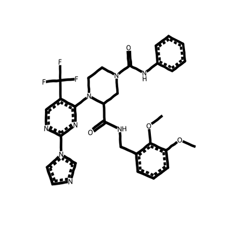 COc1cccc(CNC(=O)C2CN(C(=O)Nc3ccccc3)CCN2c2nc(-n3ccnc3)ncc2C(F)(F)F)c1OC